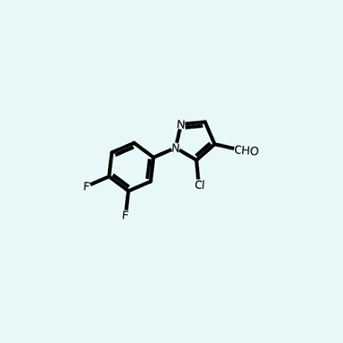 O=Cc1cnn(-c2ccc(F)c(F)c2)c1Cl